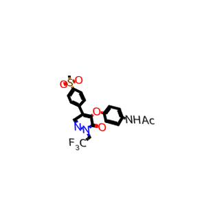 CC(=O)Nc1ccc(Oc2c(-c3ccc(S(C)(=O)=O)cc3)cnn(CC(F)(F)F)c2=O)cc1